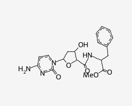 COC(=O)C(Cc1ccccc1)NC(=O)C1OC(n2ccc(N)nc2=O)CC1O